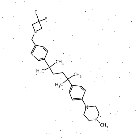 CN1CCN(c2ccc(C(C)(C)CCC(C)(C)c3ccc(CN4CC(F)(F)C4)cc3)cc2)CC1